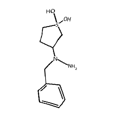 NN(Cc1ccccc1)C1CCS(O)(O)C1